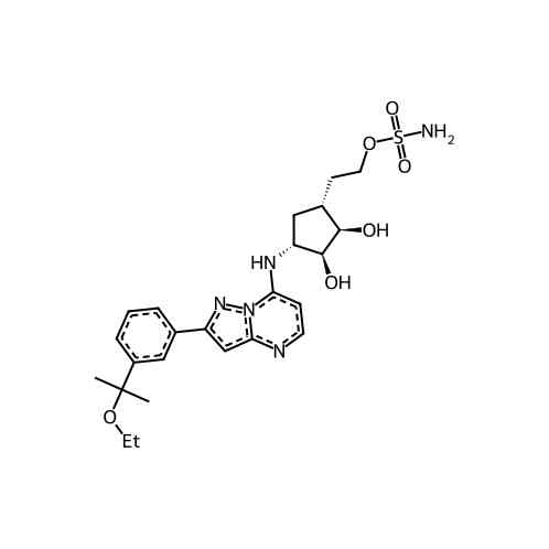 CCOC(C)(C)c1cccc(-c2cc3nccc(N[C@@H]4C[C@H](CCOS(N)(=O)=O)[C@@H](O)[C@H]4O)n3n2)c1